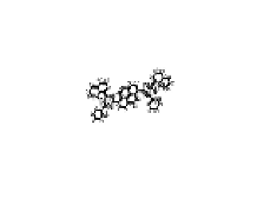 c1ccc(-c2nc(-c3ccc4ccc5c(-c6nc(-c7ccccn7)nc(-c7cccc8cccnc78)n6)ccc6ccc3c4c65)nc(-c3cccc4cccnc34)n2)nc1